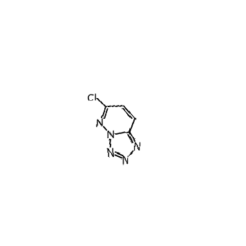 Clc1ccc2nnnn2n1